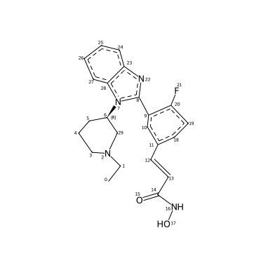 CCN1CCC[C@@H](n2c(-c3cc(C=CC(=O)NO)ccc3F)nc3ccccc32)C1